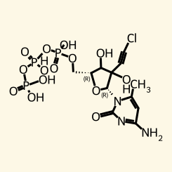 Cc1cc(N)nc(=O)n1[C@@H]1O[C@H](COP(=O)(O)OP(=O)(O)OP(=O)(O)O)C(O)C1(O)C#CCl